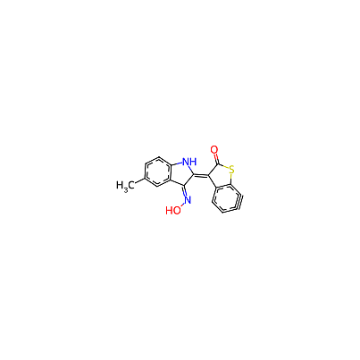 Cc1ccc2c(c1)C(=N\O)/C(=C1/C(=O)Sc3c#cccc31)N2